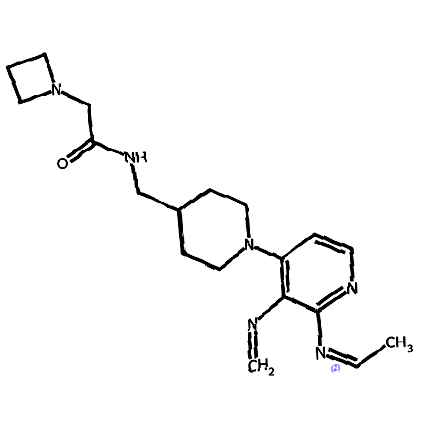 C=Nc1c(N2CCC(CNC(=O)CN3CCC3)CC2)ccnc1/N=C\C